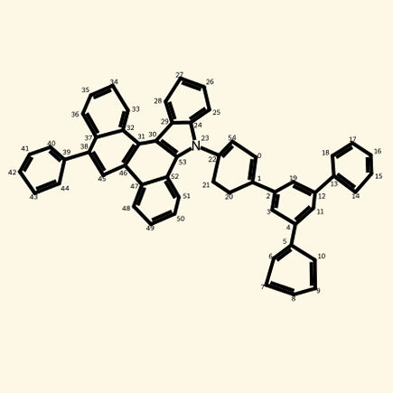 C1=C(c2cc(-c3ccccc3)cc(-c3ccccc3)c2)CCC(n2c3ccccc3c3c4c5ccccc5c(-c5ccccc5)cc4c4ccccc4c32)=C1